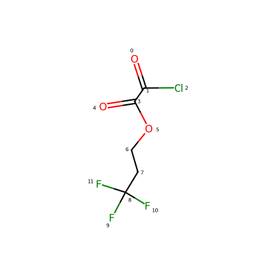 O=C(Cl)C(=O)OCCC(F)(F)F